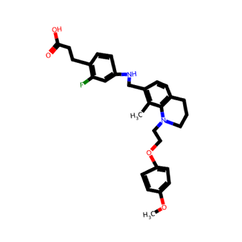 COc1ccc(OCCN2CCCc3ccc(CNc4ccc(CCC(=O)O)c(F)c4)c(C)c32)cc1